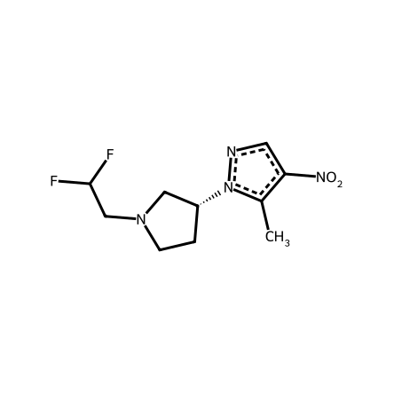 Cc1c([N+](=O)[O-])cnn1[C@@H]1CCN(CC(F)F)C1